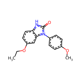 CCOc1ccc2[nH]c(=O)n(-c3ccc(OC)cc3)c2c1